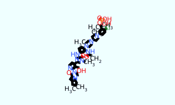 C=CC(=O)Nc1cc(Nc2nc(-c3ccnc(N4CCn5c(cc6c5CC(C)(C)C6)C4=O)c3CO)cn(C)c2=O)ccc1N1CCN(C2CCN(c3ccc(Cl)c(C(C)(C)OP(=O)(O)O)c3)[C@H](C)C2)C[C@@H]1C